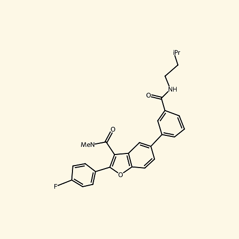 CNC(=O)c1c(-c2ccc(F)cc2)oc2ccc(-c3cccc(C(=O)NCCC(C)C)c3)cc12